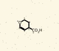 O=C(O)C1C=COCC1